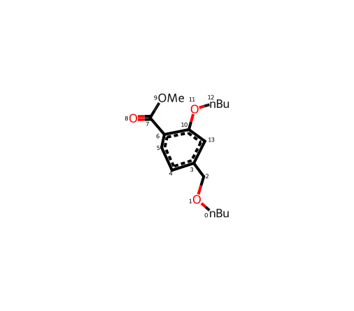 CCCCOCc1ccc(C(=O)OC)c(OCCCC)c1